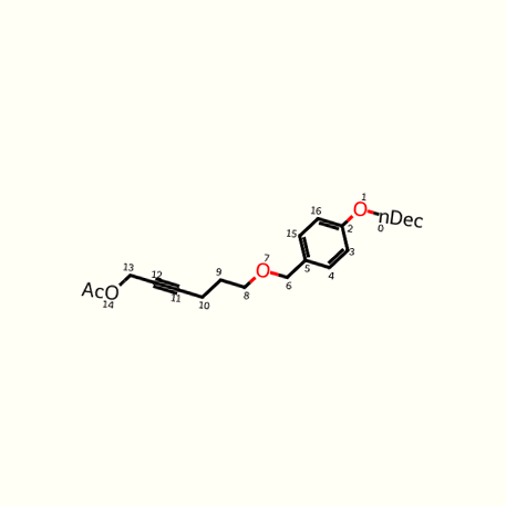 CCCCCCCCCCOc1ccc(COCCCC#CCOC(C)=O)cc1